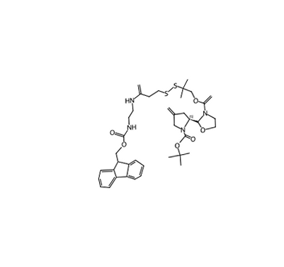 C=C1C[C@@H](C2OCCN2C(=C)OCC(C)(C)SSCCC(=C)NCCNC(=O)OCC2c3ccccc3-c3ccccc32)N(C(=O)OC(C)(C)C)C1